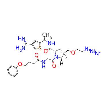 CC(NC(=O)[C@@H]1C[C@]2(COCCN=[N+]=[N-])C[C@@H]2N1C(=O)CNC(=O)CCCOc1ccccc1)c1cc(C(=N)N)cs1